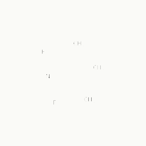 Cc1c(F)nc(F)c(C)c1C